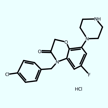 Cl.O=C1COc2c(N3CCNCC3)cc(F)cc2N1Cc1ccc(Cl)cc1